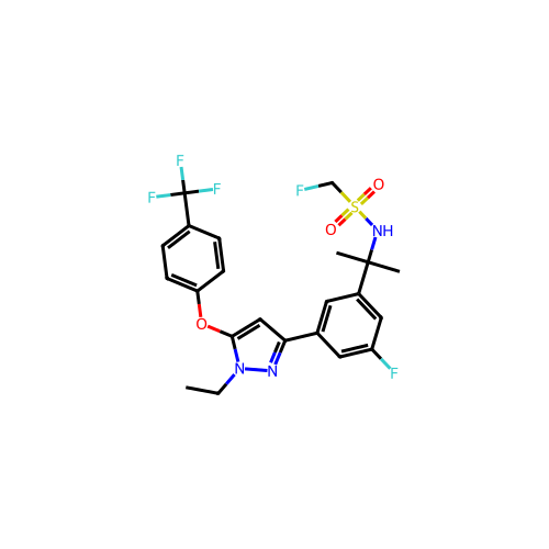 CCn1nc(-c2cc(F)cc(C(C)(C)NS(=O)(=O)CF)c2)cc1Oc1ccc(C(F)(F)F)cc1